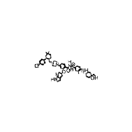 CC[C@]1(O)CC[C@H](CNc2ccc(S(=O)(=O)NC(=O)c3ccc(N4CCN(CC5=C(c6ccc(Cl)cc6)CC(C)(C)CC5)CC4)cc3Oc3cnc4[nH]ccc4c3)cc2C)CC1